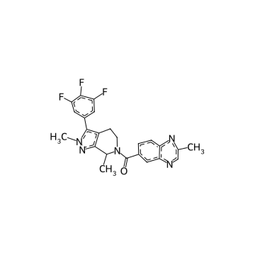 Cc1cnc2cc(C(=O)N3CCc4c(nn(C)c4-c4cc(F)c(F)c(F)c4)C3C)ccc2n1